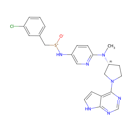 CN(c1ccc(N[S+]([O-])Cc2cccc(Cl)c2)cn1)[C@@H]1CCN(c2ncnc3[nH]ccc23)C1